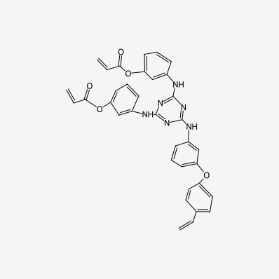 C=CC(=O)Oc1cccc(Nc2nc(Nc3cccc(OC(=O)C=C)c3)nc(Nc3cccc(Oc4ccc(C=C)cc4)c3)n2)c1